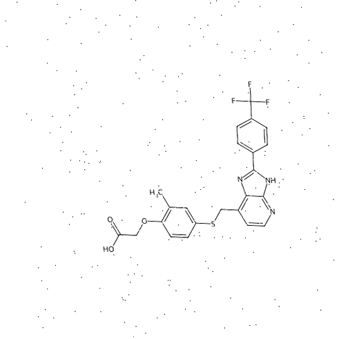 Cc1cc(SCc2ccnc3[nH]c(-c4ccc(C(F)(F)F)cc4)nc23)ccc1OCC(=O)O